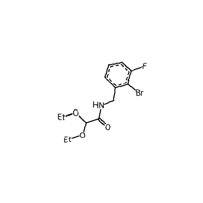 CCOC(OCC)C(=O)NCc1cccc(F)c1Br